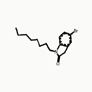 CCCCCCCCN1C(=O)Cc2cc(Br)ccc21